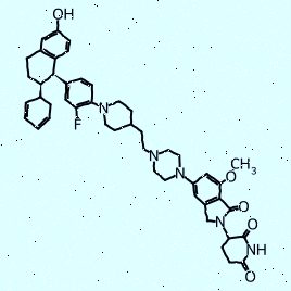 COc1cc(N2CCN(CCC3CCN(c4ccc([C@@H]5c6ccc(O)cc6CC[C@@H]5C5C=CC=CC5)cc4F)CC3)CC2)cc2c1C(=O)N(C1CCC(=O)NC1=O)C2